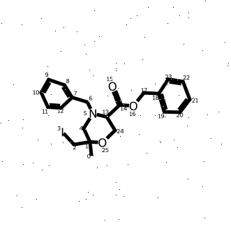 CC1(CI)CN(Cc2ccccc2)C(C(=O)OCc2ccccc2)CO1